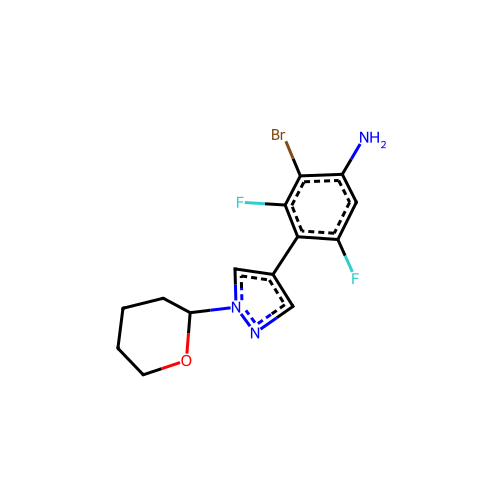 Nc1cc(F)c(-c2cnn(C3CCCCO3)c2)c(F)c1Br